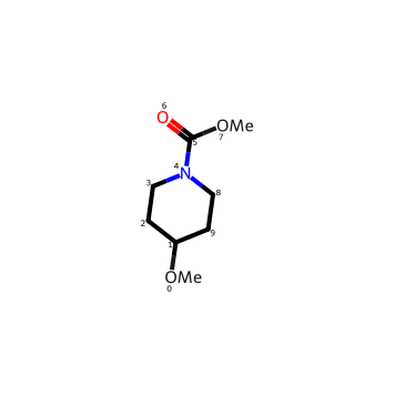 [CH2]OC1CCN(C(=O)OC)CC1